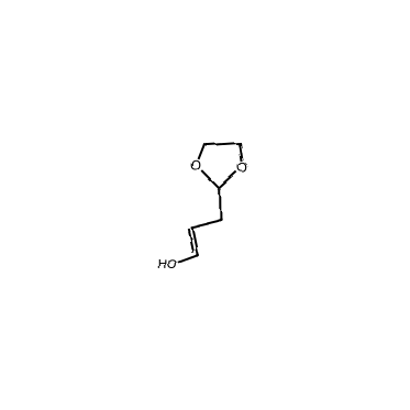 OC=CCC1OCCO1